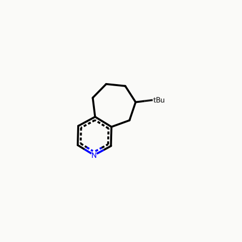 CC(C)(C)C1CCCc2ccncc2C1